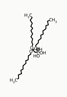 CCCCCCCCCCCCOC(C[PH](O)(O)O)(OCCCCCCCCCCCC)OCCCCCCCCCCCC